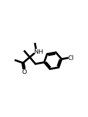 CNC(C)(Cc1ccc(Cl)cc1)C(C)=O